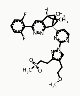 COCCc1cn(-c2nccc([C@]34CC[C@@H](c5cc(-c6c(F)cccc6F)nnc53)C4(C)C)n2)nc1CCS(C)(=O)=O